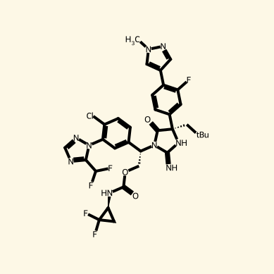 Cn1cc(-c2ccc([C@@]3(CC(C)(C)C)NC(=N)N([C@H](COC(=O)N[C@H]4CC4(F)F)c4ccc(Cl)c(-n5ncnc5C(F)F)c4)C3=O)cc2F)cn1